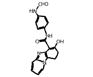 O=CNc1ccc(NC(=O)C2=C(O)CCc3c2nc2ccccn32)cc1